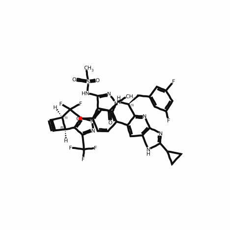 Cn1nc(NS(C)(=O)=O)c2c(Cl)ccc(-c3cc4[nH]c(C5CC5)nc4nc3[C@H](Cc3cc(F)cc(F)c3)NC(=O)Cn3nc(C(F)(F)F)c4c3C(F)(F)[C@@H]3C#C[C@H]43)c21